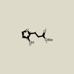 COC(=O)CCc1sccc1O